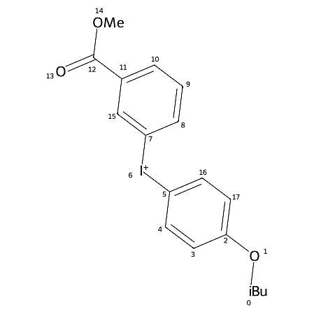 CCC(C)Oc1ccc([I+]c2cccc(C(=O)OC)c2)cc1